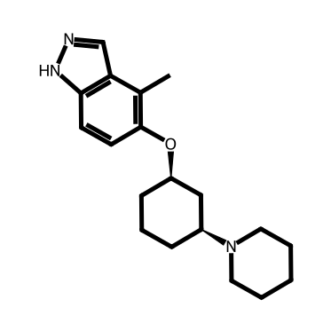 Cc1c(O[C@@H]2CCC[C@H](N3CCCCC3)C2)ccc2[nH]ncc12